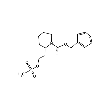 CS(=O)(=O)OCC[C@@H]1CCCCN1C(=O)OCc1ccccc1